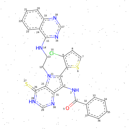 O=C(Nc1c(-c2sccc2Cl)n(CCNc2ncnc3ccccc23)c2c(=S)[nH]cnc12)c1ccccc1